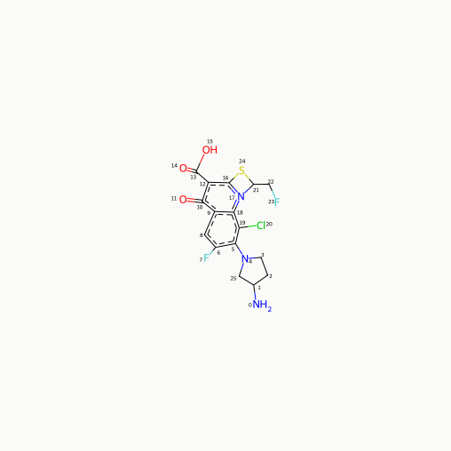 NC1CCN(c2c(F)cc3c(=O)c(C(=O)O)c4n(c3c2Cl)C(CF)S4)C1